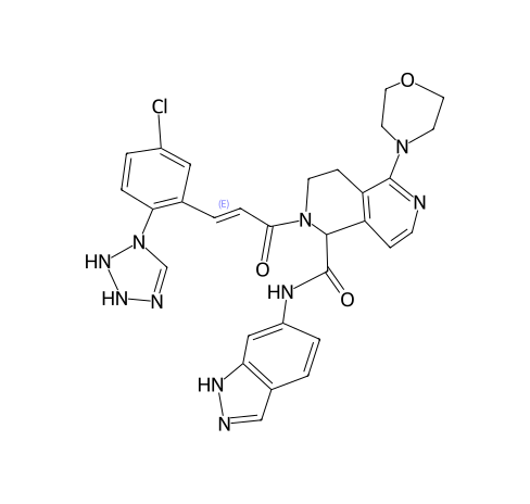 O=C(Nc1ccc2cn[nH]c2c1)C1c2ccnc(N3CCOCC3)c2CCN1C(=O)/C=C/c1cc(Cl)ccc1N1C=NNN1